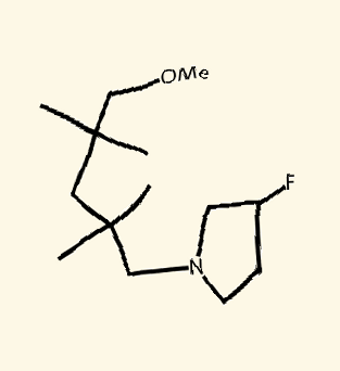 COCC(C)(C)CC(C)(C)CN1CCC(F)C1